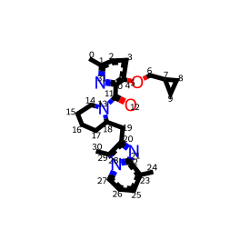 Cc1ccc(OCC2CC2)c(C(=O)N2CCCCC2Cc2nc3c(C)cccn3c2C)n1